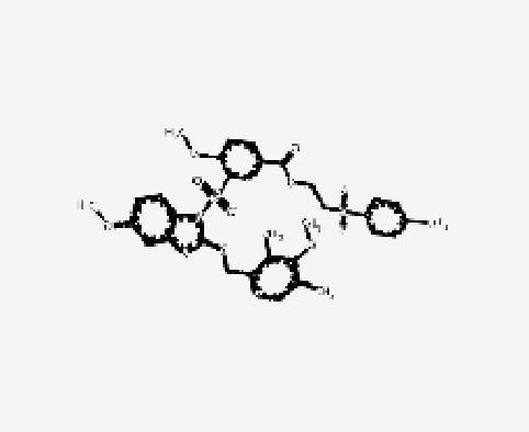 COc1ccc2c(c1)nc(SCc1ncc(C)c(OC)c1C)n2S(=O)(=O)c1cc(C(=O)OCCS(=O)(=O)c2ccc(C)cc2)ccc1OC